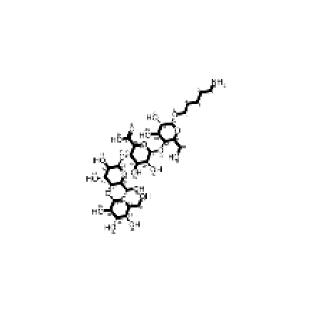 NCCCCCO[C@@H]1OC(CO)[C@@H](O[C@@H]2OC(C(=O)O)[C@@H](O[C@H]3OC(CO)[C@H](O[C@H]4OC(CO)[C@@H](O)[C@H](O)C4O)[C@H](O)C3O)C(O)[C@@H]2O)C(O)[C@@H]1O